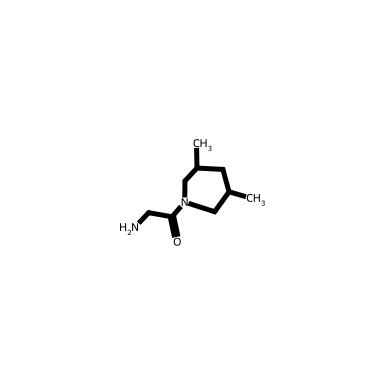 CC1CC(C)CN(C(=O)CN)C1